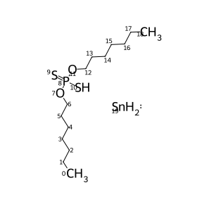 CCCCCCCOP(=S)(S)OCCCCCCC.[SnH2]